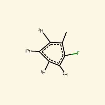 [2H]c1c([2H])c(C(C)C)c([2H])c(C)c1F